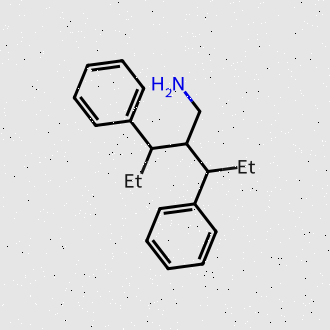 CCC(c1ccccc1)C(CN)C(CC)c1ccccc1